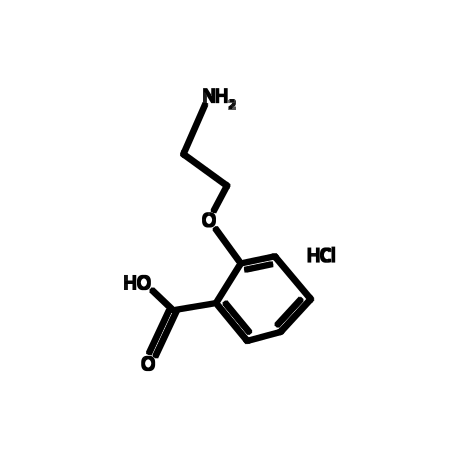 Cl.NCCOc1ccccc1C(=O)O